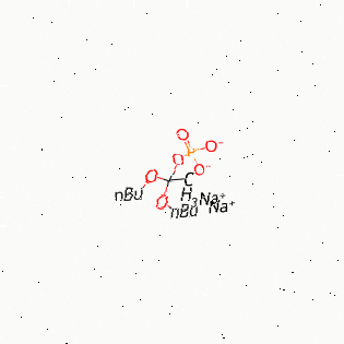 CCCCOC(C)(OCCCC)OP(=O)([O-])[O-].[Na+].[Na+]